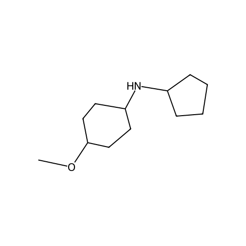 COC1CCC(NC2CCCC2)CC1